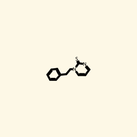 S=c1ncccn1CCc1ccccc1